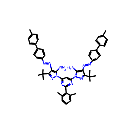 Cc1ccc(-c2ccc(/N=N/c3c(C(C)(C)C)nn(-c4cc(-n5nc(C(C)(C)C)c(/N=N/c6ccc(-c7ccc(C)cc7)cc6)c5N)nc(-c5c(C)cccc5C)n4)c3N)cc2)cc1